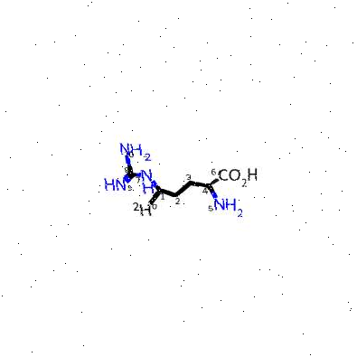 [2H]C(CC[C@H](N)C(=O)O)NC(=N)N